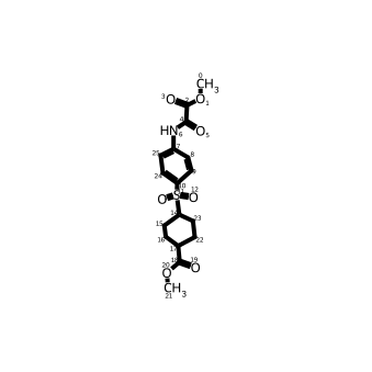 COC(=O)C(=O)Nc1ccc(S(=O)(=O)C2CCC(C(=O)OC)CC2)cc1